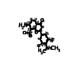 CN(C)c1c(F)cc(-c2cc(=O)c3ccc(N)c([N+](=O)[O-])c3o2)cc1F